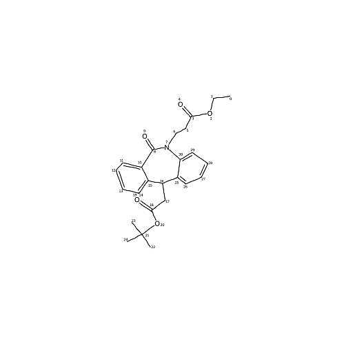 CCOC(=O)CCN1C(=O)c2ccccc2C(CC(=O)OC(C)(C)C)c2ccccc21